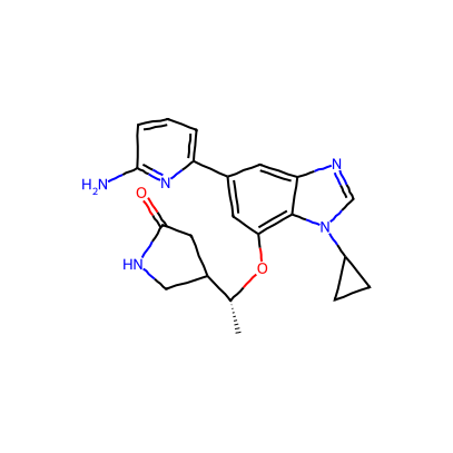 C[C@@H](Oc1cc(-c2cccc(N)n2)cc2ncn(C3CC3)c12)C1CNC(=O)C1